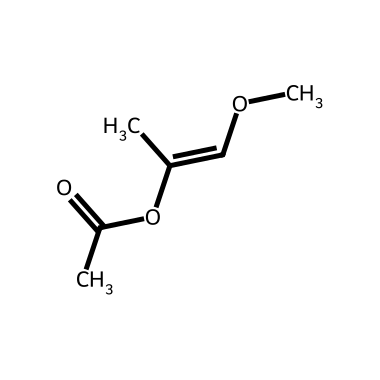 CO/C=C(\C)OC(C)=O